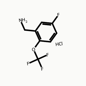 Cl.NCc1cc(F)ccc1OC(F)(F)F